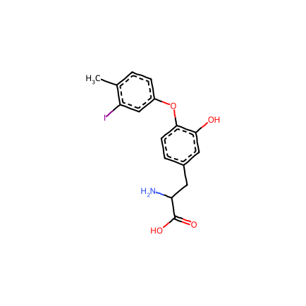 Cc1ccc(Oc2ccc(CC(N)C(=O)O)cc2O)cc1I